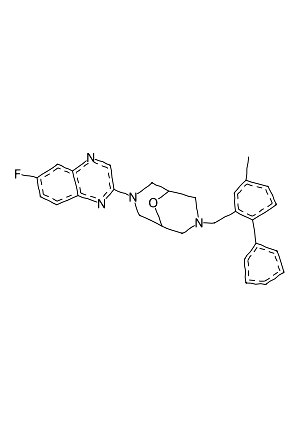 Cc1ccc(-c2ccccc2)c(CN2CC3CN(c4cnc5cc(F)ccc5n4)CC(C2)O3)c1